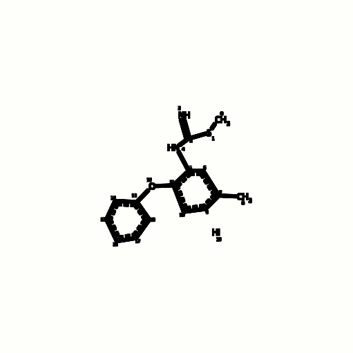 CSC(=N)Nc1cc(C)ccc1Oc1ccccc1.I